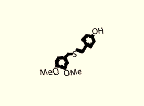 COc1ccc(CSC=Cc2ccc(O)cc2)cc1OC